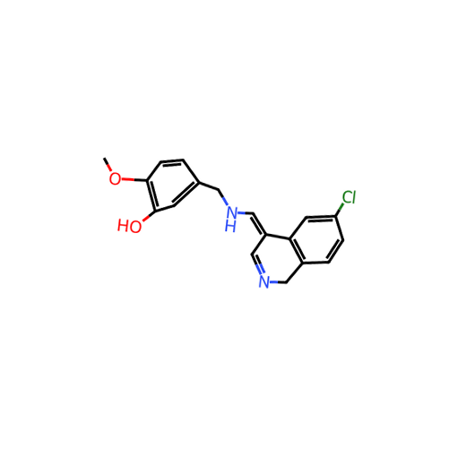 COc1ccc(CN/C=C2\C=NCc3ccc(Cl)cc32)cc1O